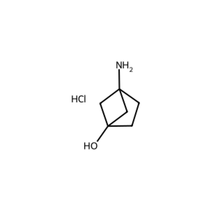 Cl.NC12CCC(O)(C1)C2